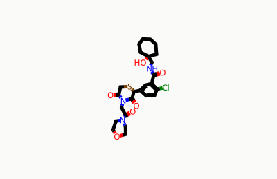 O=C(NCC1(O)CCCCCC1)c1cc(C2SCC(=O)N(CC(=O)N3CCOCC3)C2=O)ccc1Cl